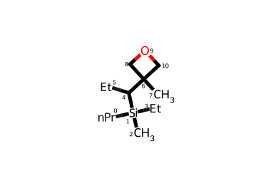 CCC[Si](C)(CC)C(CC)C1(C)COC1